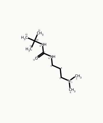 CN(C)CCCNC(=O)NC(C)(C)C